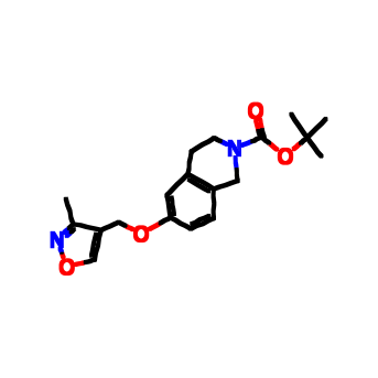 Cc1nocc1COc1ccc2c(c1)CCN(C(=O)OC(C)(C)C)C2